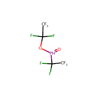 O=[PH](OC(F)(F)C(F)(F)F)C(F)(F)C(F)(F)F